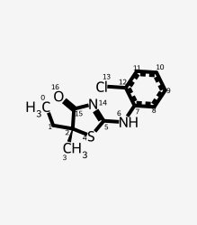 CC[C@@]1(C)SC(Nc2ccccc2Cl)=NC1=O